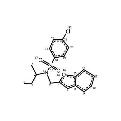 CCC(C)N(Cc1cc2ccccc2o1)S(=O)(=O)c1ccc(Cl)cc1